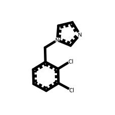 Clc1cccc(Cn2ccnc2)c1Cl